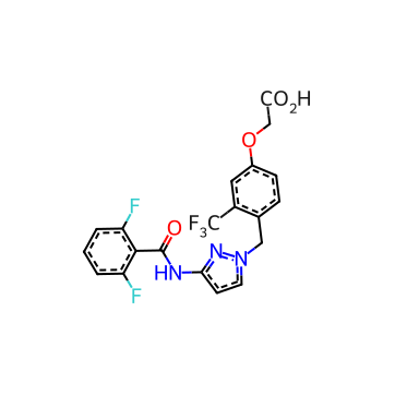 O=C(O)COc1ccc(Cn2ccc(NC(=O)c3c(F)cccc3F)n2)c(C(F)(F)F)c1